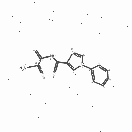 C=C(NC(=O)c1cn(-c2ccccc2)cn1)C(N)=O